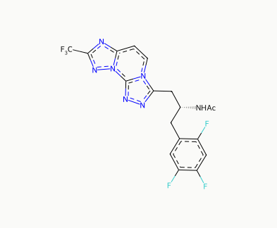 CC(=O)N[C@H](Cc1cc(F)c(F)cc1F)Cc1nnc2n1ccc1nc(C(F)(F)F)nn12